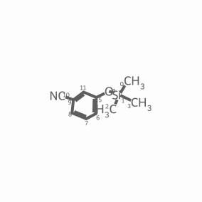 C[Si](C)(C)Oc1cccc(C#N)c1